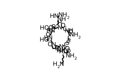 N=C(N)NCCC[C@@H]1NC(=O)CNC(=O)[C@H](N)CSSC[C@@H](C(=O)N[C@@H](CCCCN)C(N)=O)NC(=O)[C@@H]2CCCN2C(=O)[C@H](CO)NC(=O)[C@H](CC(=O)O)NC1=O